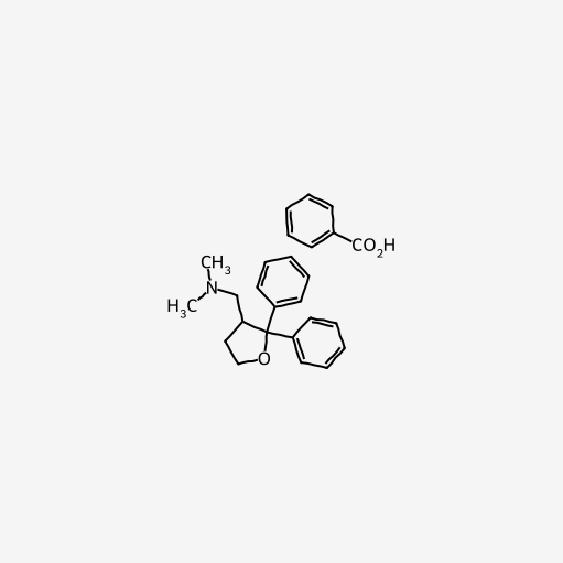 CN(C)CC1CCOC1(c1ccccc1)c1ccccc1.O=C(O)c1ccccc1